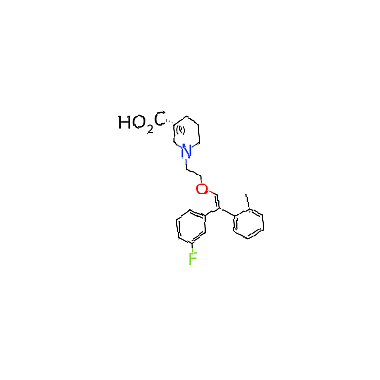 Cc1ccccc1C(=COCCN1CCC[C@@H](C(=O)O)C1)c1cccc(F)c1